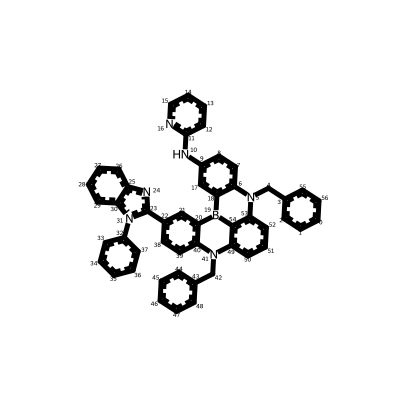 c1ccc(CN2c3ccc(Nc4ccccn4)cc3B3c4cc(-c5nc6ccccc6n5-c5ccccc5)ccc4N(Cc4ccccc4)c4cccc2c43)cc1